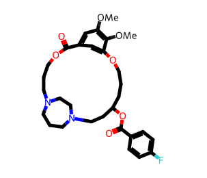 COc1cc2cc(c1OC)OCCCC(OC(=O)c1ccc(F)cc1)CCN1CCCN(CCCOC2=O)CC1